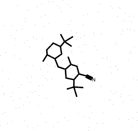 CC1CCC(C(C)(C)C)CC1CC1CC(C(C)(C)C)C(C#N)CC1C